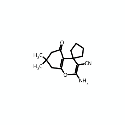 CC1(C)CC(=O)C2=C(C1)OC(N)=C(C#N)C21CCCC1